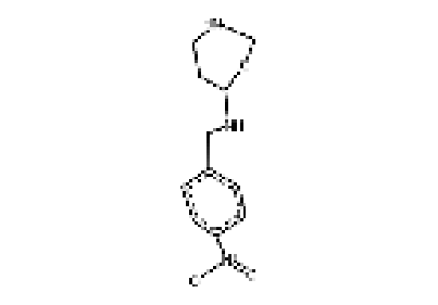 O=[N+]([O-])c1ccc(CNC2CCNCC2)cc1